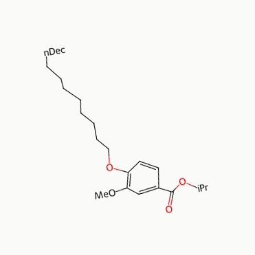 CCCCCCCCCCCCCCCCCCOc1ccc(C(=O)OC(C)C)cc1OC